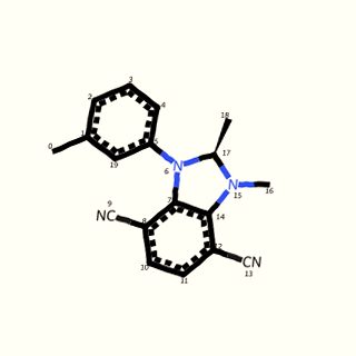 Cc1cccc(N2c3c(C#N)ccc(C#N)c3N(C)[C@@H]2C)c1